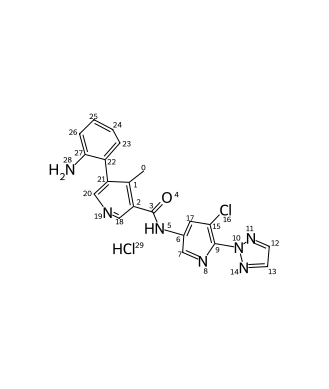 Cc1c(C(=O)Nc2cnc(-n3nccn3)c(Cl)c2)cncc1-c1ccccc1N.Cl